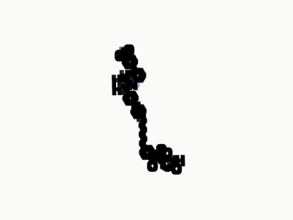 CS(=O)(=O)c1ccc(-c2ccc/c(=N/C(=N)Nc3ccc(N4CCN(CCCCCCc5ccc6c(c5)C(=O)N(C5CCC(=O)NC5=O)C6=O)CC4)cc3)[nH]2)cc1